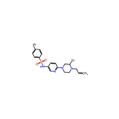 C=CCN1CCN(c2ccc(NS(=O)(=O)c3ccc(C(C)C)cc3)cn2)CC1CC